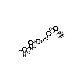 Cc1c(OC2CCC(OC[C@H](C)N3CCN(c4cccc5c(C6CCC(=O)NC6=O)nn(C)c45)CC3)CC2)cccc1B1OC(C)(C)C(C)(C)O1